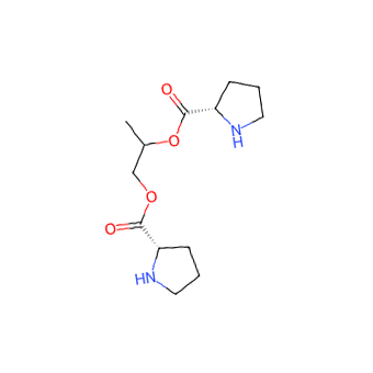 CC(COC(=O)[C@@H]1CCCN1)OC(=O)[C@@H]1CCCN1